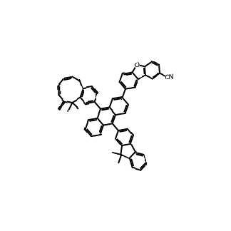 C=C1/C=C\C=C/Cc2ccc(-c3c4ccccc4c(-c4ccc5c(c4)C(C)(C)c4ccccc4-5)c4ccc(-c5ccc6oc7ccc(C#N)cc7c6c5)cc34)cc2C1(C)C